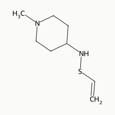 C=CSNC1CCN(C)CC1